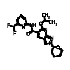 CC(C)Oc1nc2nn(C3CCCCO3)cc2cc1C(=O)Nc1cccc(C(F)F)n1